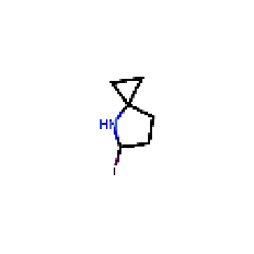 IC1CCC2(CC2)N1